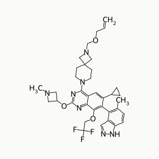 C=CCOCN1CC2(CCN(c3nc(OC4CN(C)C4)nc4c(OCC(F)(F)F)c(-c5c(C)ccc6[nH]ncc56)c(C5CC5)cc34)CC2)C1